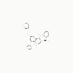 N#Cc1cnc2c(-c3ccsc3)cc(NCc3cccnc3)cc2c1Nc1cccc(Cl)c1